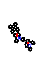 c1ccc(-c2ccccc2N(c2ccc(-c3ccc(-c4ccccc4-n4c5ccccc5c5ccccc54)cc3)cc2)c2ccc(-c3ccc4c(c3)C(c3ccccc3)(c3ccccc3)c3ccccc3-4)cc2)cc1